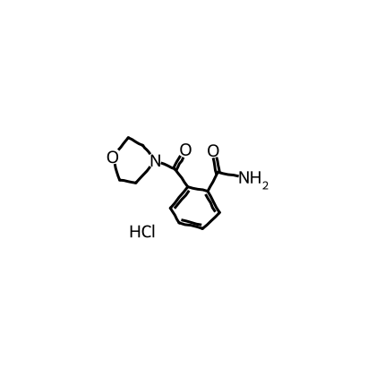 Cl.NC(=O)c1ccccc1C(=O)N1CCOCC1